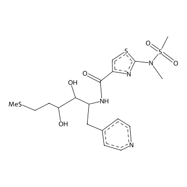 CSCCC(O)C(O)C(Cc1ccncc1)NC(=O)c1csc(N(C)S(C)(=O)=O)n1